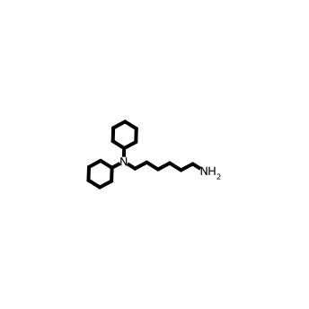 NCCCCCCN(C1CCCCC1)C1CCCCC1